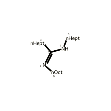 CCCCCCCCN=C(CCCCCCC)NCCCCCCC